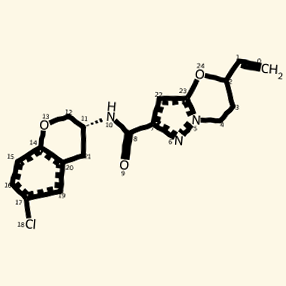 C=CC1CCn2nc(C(=O)N[C@H]3COc4ccc(Cl)cc4C3)cc2O1